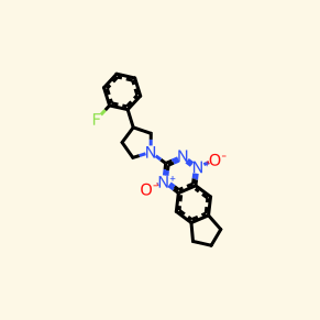 [O-][n+]1nc(N2CCC(c3ccccc3F)C2)[n+]([O-])c2cc3c(cc21)CCC3